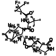 CC(C)(C)[C@H](NC(=O)[C@H]1CC1(F)F)C(=O)N1C[C@H]2[C@@H]([C@H]1C(=O)N[C@@H](C[C@@H]1CCNC1=O)C(N)=O)[C@H]1C=C[C@@H]2C1